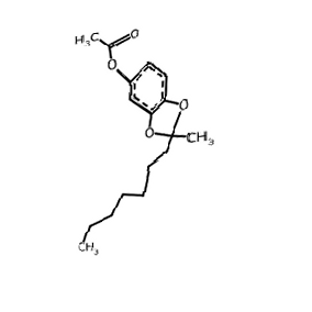 CCCCCCCC1(C)Oc2ccc(OC(C)=O)cc2O1